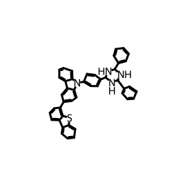 c1ccc(C2NC(c3ccccc3)NC(c3ccc(-n4c5ccccc5c5cc(-c6cccc7c6sc6ccccc67)ccc54)cc3)N2)cc1